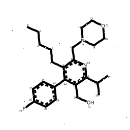 CCCCCc1c(CN2CCOCC2)nc(C(C)C)c(CO)c1-c1ccc(F)cc1